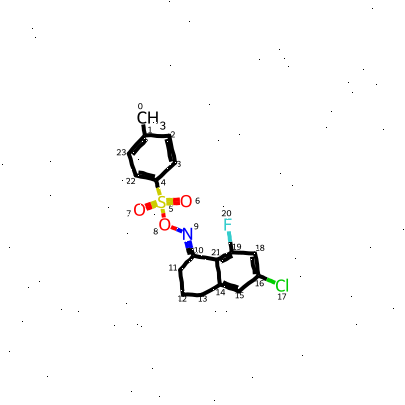 Cc1ccc(S(=O)(=O)ON=C2CCCc3cc(Cl)cc(F)c32)cc1